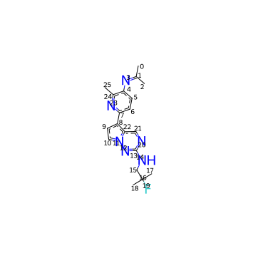 CC(C)=Nc1ccc(-c2ccn3nc(NCC(C)(C)F)ncc23)nc1C